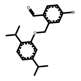 CC(C)c1ccc(C(C)C)c(OCc2cc(Br)ccc2C=O)c1